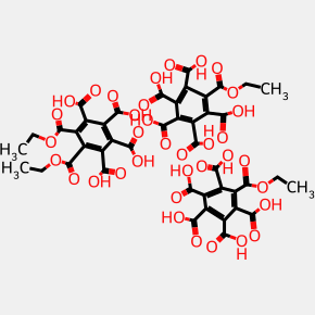 CCOC(=O)c1c(C(=O)O)c(C(=O)O)c(C(=O)O)c(C(=O)O)c1C(=O)O.CCOC(=O)c1c(C(=O)O)c(C(=O)O)c(C(=O)O)c(C(=O)O)c1C(=O)O.CCOC(=O)c1c(C(=O)O)c(C(=O)O)c(C(=O)O)c(C(=O)O)c1C(=O)OCC